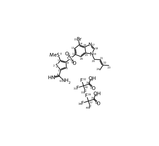 CSc1sc(C(=N)N)cc1S(=O)(=O)c1cc(Br)c2ncn(CC=C(C)C)c2c1.O=C(O)C(F)(F)F.O=C(O)C(F)(F)F